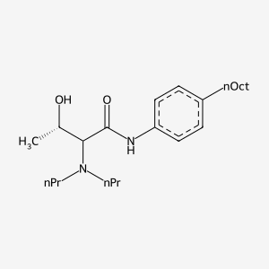 CCCCCCCCc1ccc(NC(=O)C([C@H](C)O)N(CCC)CCC)cc1